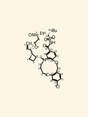 C=C[C@H](OCCOC)[C@@H]1CC[C@H]1CN1CCCCc2cc(Cl)ccc2COc2ccc(C(=O)NS(=O)(=O)[C@H](CC)[C@@H](C)CC)cc21